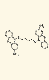 Nc1ccc2c(SCCCCSc3c4ccccc4nc4cc(N)ccc34)c3ccccc3nc2c1